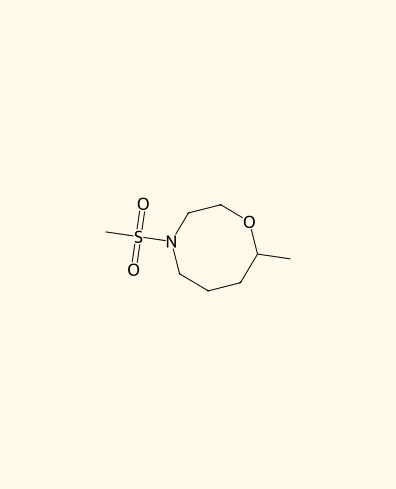 CC1CCCN(S(C)(=O)=O)CCO1